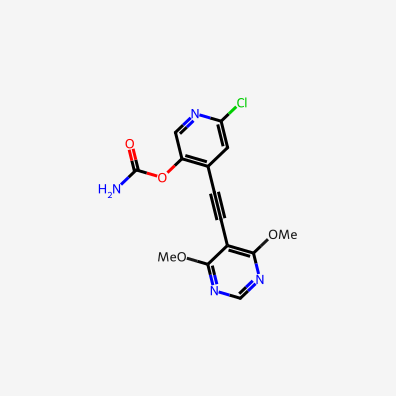 COc1ncnc(OC)c1C#Cc1cc(Cl)ncc1OC(N)=O